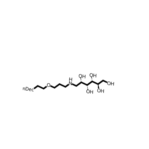 CCCCCCCCCCCCOCCCNC[C@H](O)[C@@H](O)[C@H](O)[C@H](O)CO